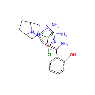 NC(N)=C(/C=C(\N)c1ccccc1O)N1CC2CCC(C1)N2c1cc(Cl)ncn1